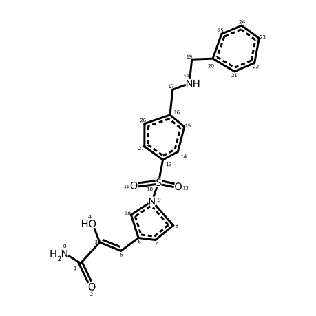 NC(=O)C(O)=Cc1ccn(S(=O)(=O)c2ccc(CNCc3ccccc3)cc2)c1